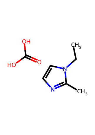 CCn1ccnc1C.O=C(O)O